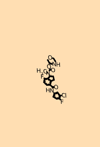 CN(C(=O)O[C@@H]1COCCN1)[C@H]1CCc2c(C(=O)Nc3ccc(F)c(Cl)c3)ccc(F)c21